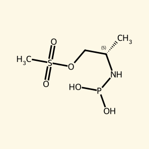 C[C@@H](COS(C)(=O)=O)NP(O)O